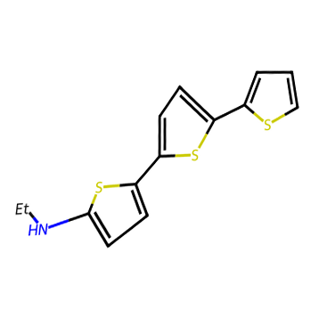 CCNc1ccc(-c2ccc(-c3cccs3)s2)s1